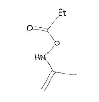 C=C(C)NOC(=O)CC